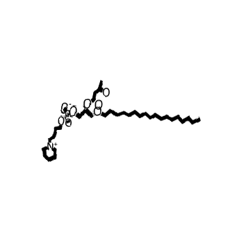 CCCCCCCCCCCCCCCCCCOCC(COP(=O)([O-])OCCCC[n+]1ccccc1)OC(=O)CC(C)=O